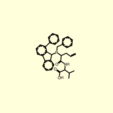 C=CCC(C(=O)NC(C(=O)O)C(C)C)N(Cc1ccccc1)C1c2ccccc2-c2cccc(-c3ccccc3)c21